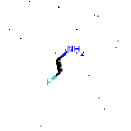 NC=CF